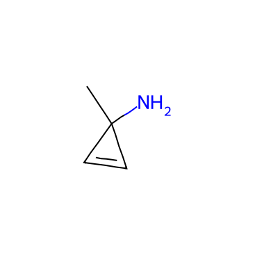 CC1(N)C=C1